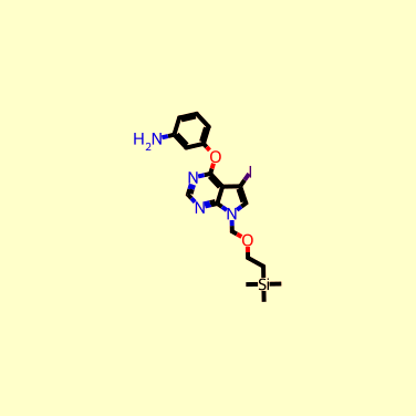 C[Si](C)(C)CCOCn1cc(I)c2c(Oc3cccc(N)c3)ncnc21